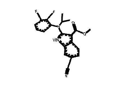 COC(=O)c1c(N(c2cccc(F)c2F)C(C)C)[nH]c2cc(C#N)ccc12